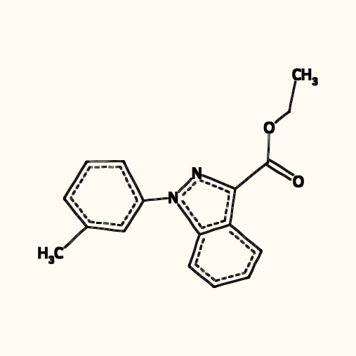 CCOC(=O)c1nn(-c2cccc(C)c2)c2ccccc12